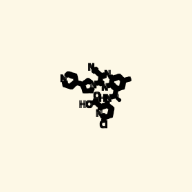 Cc1cc([C@@H](C)Nc2ccc(Cl)nc2C(=O)O)c2nc(N3CCC(c4ccncc4)C3)c(C#N)nc2c1